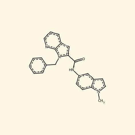 Cn1ccc2cc(NC(=O)c3cc4cccnc4n3Cc3ccccc3)ccc21